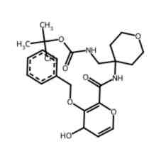 CC(C)(C)OC(=O)NCC1(NC(=O)C2=C(OCc3ccccc3)C(O)C=CO2)CCOCC1